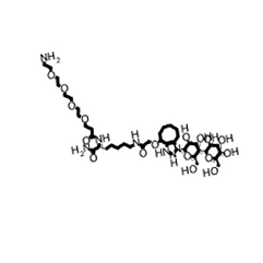 NCCOCCOCCOCCOCCC(=O)N[C@H](CCCCCNC(=O)COC1CCCCCC2=C1NNN2[C@H]1O[C@H](CO)[C@@H](C2O[C@H](CO)[C@@H](O)[C@H](O)[C@H]2O)[C@H](O)[C@H]1O)C(N)=O